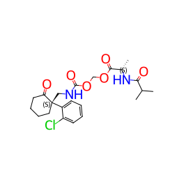 CC(C)C(=O)N[C@@H](C)C(=O)OCOC(=O)NC[C@@]1(c2ccccc2Cl)CCCCC1=O